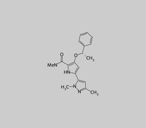 CNC(=O)c1[nH]c(-c2cc(C)nn2C)cc1O[C@@H](C)c1ccccc1